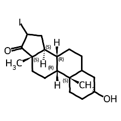 C[C@]12CCC(O)CC1CC[C@@H]1[C@H]2CC[C@]2(C)C(=O)C(I)C[C@@H]12